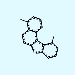 Brc1cccc2c1ccc1[nH]c3cccc(Br)c3c12